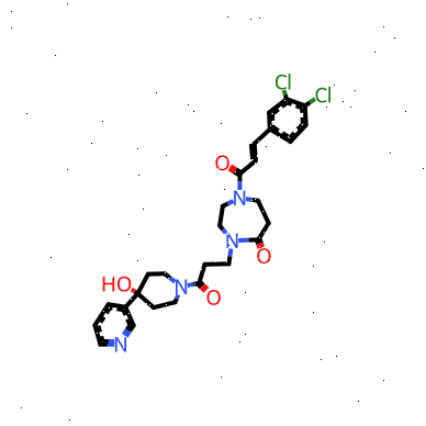 O=C(/C=C/c1ccc(Cl)c(Cl)c1)N1CCC(=O)N(CCC(=O)N2CCC(O)(c3cccnc3)CC2)CC1